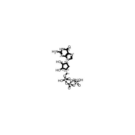 Nc1nc2c(ncn2[C@@H]2C[C@H](COP(=O)(O)OP(=O)(O)OP(=O)(O)O)C(O)C2O)c(=O)[nH]1